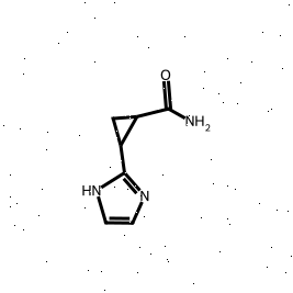 NC(=O)C1CC1c1ncc[nH]1